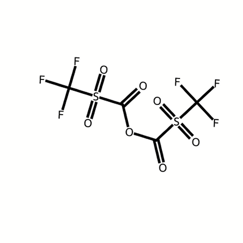 O=C(OC(=O)S(=O)(=O)C(F)(F)F)S(=O)(=O)C(F)(F)F